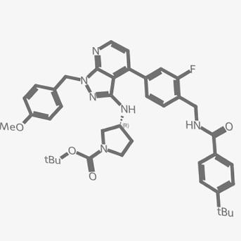 COc1ccc(Cn2nc(N[C@@H]3CCN(C(=O)OC(C)(C)C)C3)c3c(-c4ccc(CNC(=O)c5ccc(C(C)(C)C)cc5)c(F)c4)ccnc32)cc1